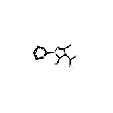 CC1=NN(c2ccccn2)C(O)C1C(O)C(F)(F)F